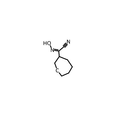 N#CC(=NO)C1CCCCCC1